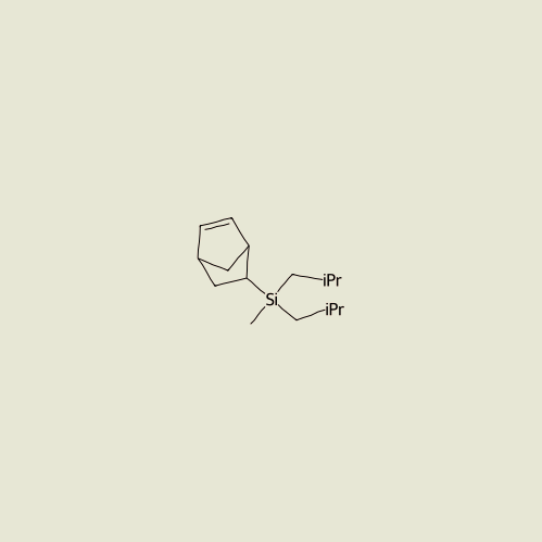 CC(C)C[Si](C)(CC(C)C)C1CC2C=CC1C2